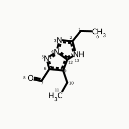 CCc1nn2nc(C=O)c(CC)c2[nH]1